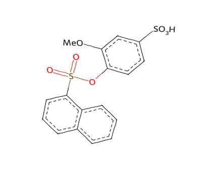 COc1cc(S(=O)(=O)O)ccc1OS(=O)(=O)c1cccc2ccccc12